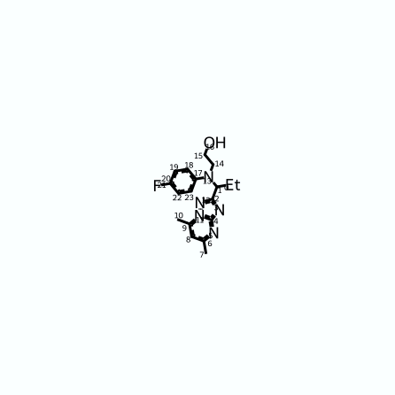 CCC(c1nc2nc(C)cc(C)n2n1)N(CCO)c1ccc(F)cc1